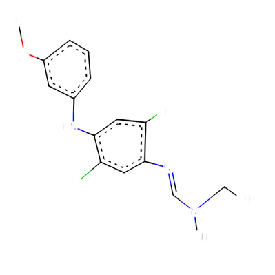 CCN(C)C=Nc1cc(Cl)c(Nc2cccc(OC)c2)cc1Cl